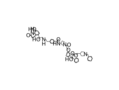 O=C(NC1CCN(C(=O)COc2cccc(C(O)(C(=O)OCC3CCN(Cc4ccccc4)CC3)c3ccccc3)c2)C1)c1ccc(CCNCC(O)c2ccc(O)c3[nH]c(=O)ccc23)cc1